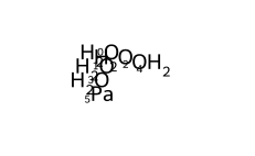 O.O.O.O.O.[Pa]